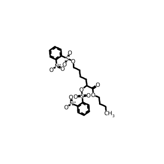 CCCCOC(=O)C(CCCCOS(=O)(=O)c1ccccc1[N+](=O)[O-])OS(=O)(=O)c1ccccc1[N+](=O)[O-]